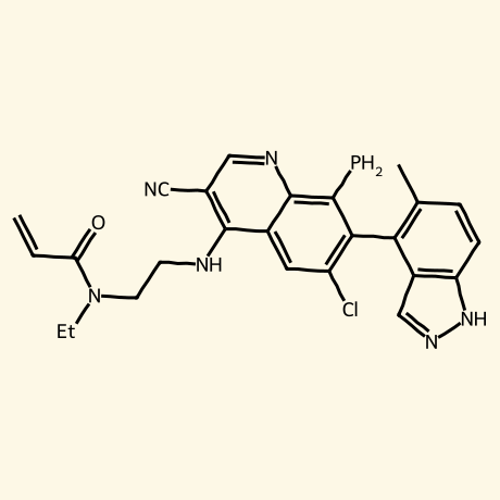 C=CC(=O)N(CC)CCNc1c(C#N)cnc2c(P)c(-c3c(C)ccc4[nH]ncc34)c(Cl)cc12